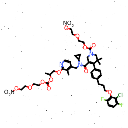 Cc1c(CN(C(=O)C2=C(c3ccc(CCCOc4c(F)ccc(F)c4Cl)cc3)C(C)(C)CN(C(=O)OCCOCCO[N+](=O)[O-])C2)C2CC2)ccnc1OCC(C)OC(=O)OCCOCCO[N+](=O)[O-]